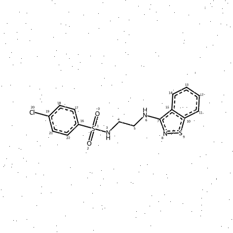 O=S(=O)(NCCNc1nsc2ccccc12)c1ccc(Cl)cc1